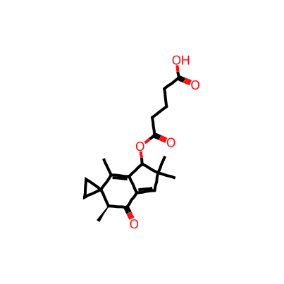 CC1=C2C(=CC(C)(C)C2OC(=O)CCCC(=O)O)C(=O)[C@@H](C)C12CC2